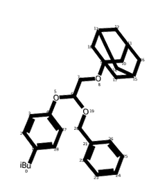 CCC(C)c1ccc(OC(COC23CC4CC(CC(C4)C2)C3)OCc2ccccc2)cc1